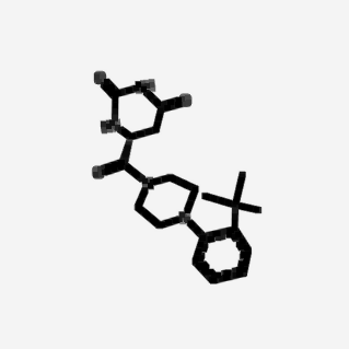 CC(C)(C)c1ccccc1N1CCN(C(=O)[C@@H]2CC(=O)NC(=O)N2)CC1